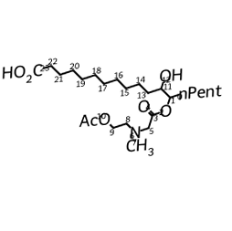 CCCCCC(OC(=O)CN(C)CCOC(C)=O)C(O)CCCCCCCCCCC(=O)O